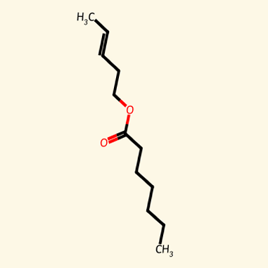 CC=CCCOC(=O)CCCCCC